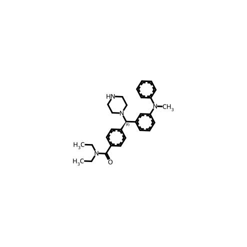 CCN(CC)C(=O)c1ccc([C@H](c2cccc(N(C)c3ccccc3)c2)N2CCNCC2)cc1